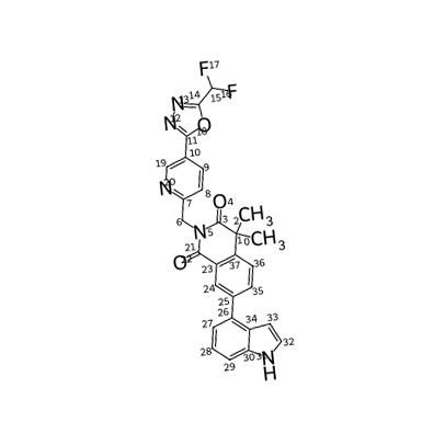 CC1(C)C(=O)N(Cc2ccc(-c3nnc(C(F)F)o3)cn2)C(=O)c2cc(-c3cccc4[nH]ccc34)ccc21